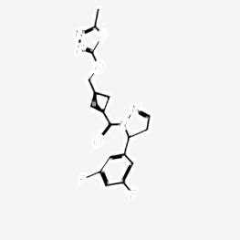 Cc1nnc(OCC23CC(C(=O)N4N=CCC4c4cc(F)cc(F)c4)(C2)C3)s1